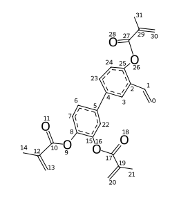 C=Cc1cc(-c2ccc(OC(=O)C(=C)C)c(OC(=O)C(=C)C)c2)ccc1OC(=O)C(=C)C